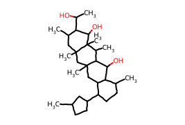 CC1CCC(C2CCC(C)C3C(O)C4C(C)C5(C)C(O)C(C(C)O)C(C)CC5(C)CC4(C)CC23)C1